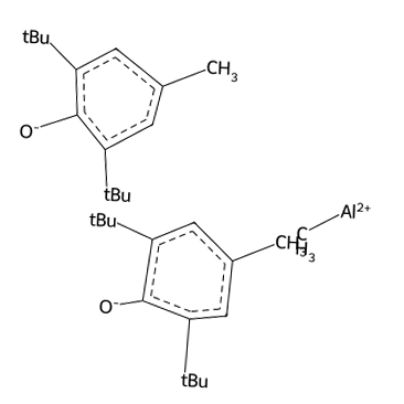 Cc1cc(C(C)(C)C)c([O-])c(C(C)(C)C)c1.Cc1cc(C(C)(C)C)c([O-])c(C(C)(C)C)c1.[CH3][Al+2]